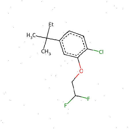 CCC(C)(C)c1ccc(Cl)c(OCC(F)F)c1